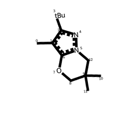 Cc1c(C(C)(C)C)nn2c1OCC(C)(C)C2